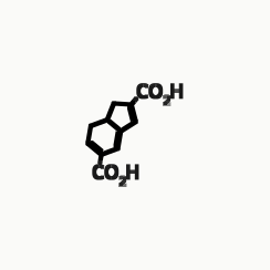 O=C(O)C1=CCC2CC(C(=O)O)=CC2=C1